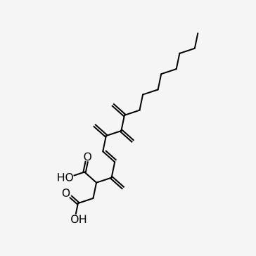 C=C(C=CC(=C)C(CC(=O)O)C(=O)O)C(=C)C(=C)CCCCCCCC